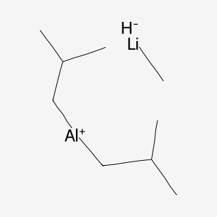 CC(C)[CH2][Al+][CH2]C(C)C.[H-].[Li][CH3]